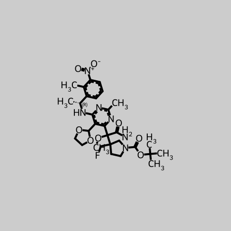 COC(C(N)=O)(c1nc(C)nc(N[C@H](C)c2cccc([N+](=O)[O-])c2C)c1C1OCCO1)C1(CF)CCN(C(=O)OC(C)(C)C)C1